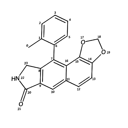 Cc1ccccc1-c1c2c(cc3ccc4c(c13)OCO4)C(=O)NC2